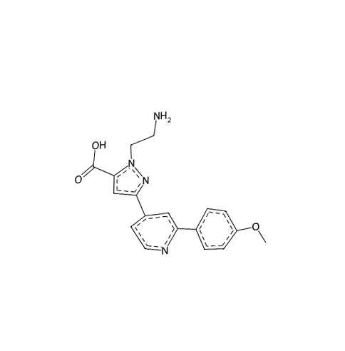 COc1ccc(-c2cc(-c3cc(C(=O)O)n(CCN)n3)ccn2)cc1